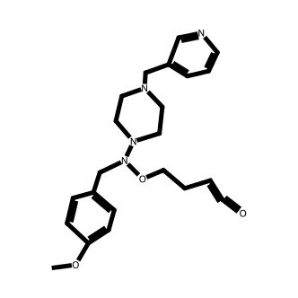 COc1ccc(CN(OCCC=C=O)N2CCN(Cc3cccnc3)CC2)cc1